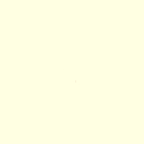 [CH2]c1[c]cco1